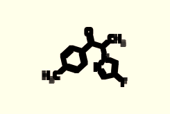 Cc1ccc(C(=O)C(C)n2cc(F)cn2)cc1